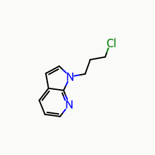 ClCCCn1ccc2cccnc21